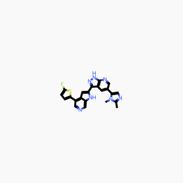 Cc1ncc(-c2cnc3[nH]nc(-c4cc5c(-c6ccc(F)s6)cncc5[nH]4)c3c2)n1C